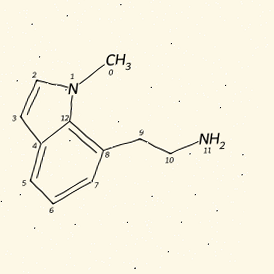 Cn1ccc2cccc(CCN)c21